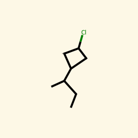 CCC(C)C1[CH]C(Cl)C1